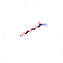 CCOCCOCCOCC(N)=O